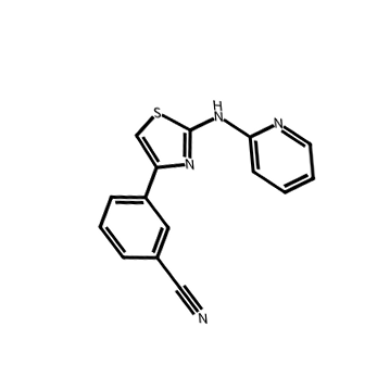 N#Cc1cccc(-c2csc(Nc3ccccn3)n2)c1